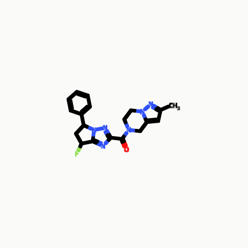 Cc1cc2n(n1)CCN(C(=O)c1nc3n(n1)C(c1ccccc1)CC3F)C2